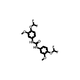 COc1cc(NC(=O)Nc2ccc(OC(F)F)c(OC)c2)ccc1OC(F)F